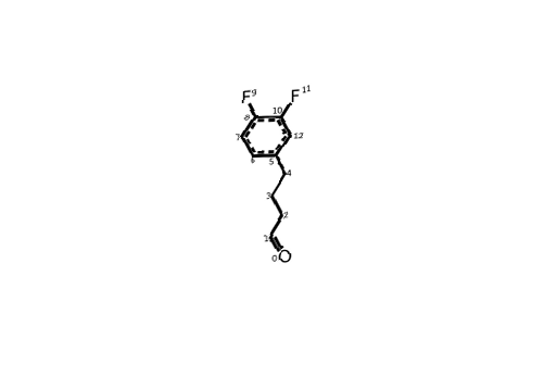 O=[C]CCCc1ccc(F)c(F)c1